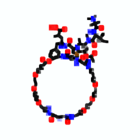 CC[C@H](C)[C@H](NC(=O)C(C)(C)N(C)C)C(=O)N(C)[C@H](C[C@@H](OC(C)=O)c1nc(C(=O)N[C@@H](Cc2ccc3c(c2)NC(=O)CNC(=O)C(C)NCCCOCCOCCOCCNC(=O)/C=C\C(=O)NCCOCCOCCOCCC(=O)O3)CC(C)C(=O)O)cs1)C(C)C